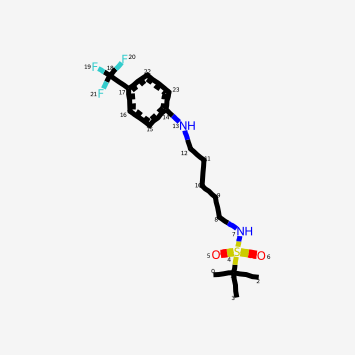 CC(C)(C)S(=O)(=O)NCCCCCNc1ccc(C(F)(F)F)cc1